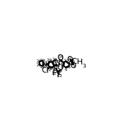 CS(=O)(=O)c1ccc(OCC(F)(F)F)c(C(=O)N2Cc3cc(Cl)c(N4CCCC4)cc3C2)c1